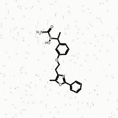 Cc1oc(-c2ccccc2)nc1CCOc1cccc(C(C)N(O)C(N)=O)c1